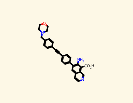 Nc1c(-c2ccc(C#Cc3ccc(CN4CCOCC4)cc3)cc2)cc2ccncc2c1C(=O)O